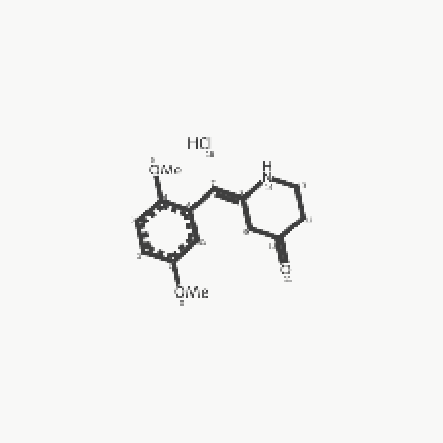 COc1ccc(OC)c(C=C2CC(=O)CCN2)c1.Cl